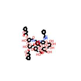 CC1O[C@@H](OC2C(n3cc(-c4ccccc4)nn3)CC(C(=O)NCCNC(=O)C3CC(OCc4cc5ccccc5oc4=O)C(O)[C@H](O[C@@H]4OC(CO)[C@H](O)C(OCc5cc6ccccc6oc5=O)C4O)C3)C[C@H]2O[C@@H]2OC(CO)[C@H](O)C(O[C@@H](CC3CCCCC3)C(=O)O)C2OC(=O)c2ccccc2)C(O)C(O)[C@@H]1O